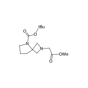 COC(=O)CN1CC2(CCCN2C(=O)OC(C)(C)C)C1